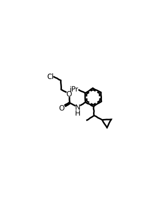 CC(C)c1cccc(C(C)C2CC2)c1NC(=O)OCCCl